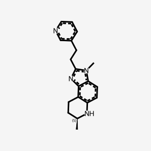 C[C@H]1CCc2c(ccc3c2nc(CCc2cccnc2)n3C)N1